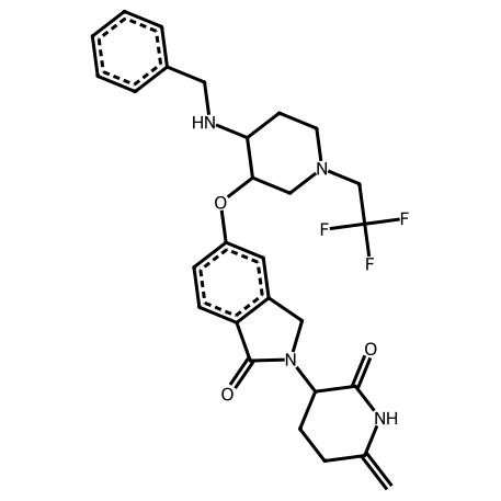 C=C1CCC(N2Cc3cc(OC4CN(CC(F)(F)F)CCC4NCc4ccccc4)ccc3C2=O)C(=O)N1